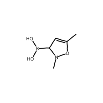 CC1=CC(B(O)O)N(C)O1